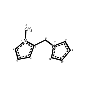 Cn1cccc1Cn1cccc1